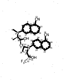 C[C@H]([C@@H](O)C(F)(F)F)N(C)c1ccc2c(C#N)cccc2c1.N#Cc1cccc2cc(N3CC[C@H]3[C@H](O)C(F)(F)F)ccc12